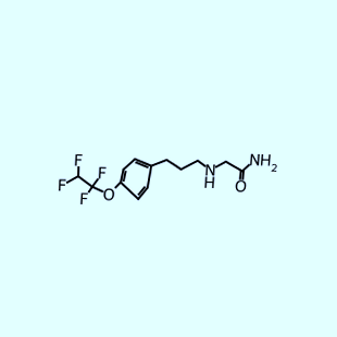 NC(=O)CNCCCc1ccc(OC(F)(F)C(F)F)cc1